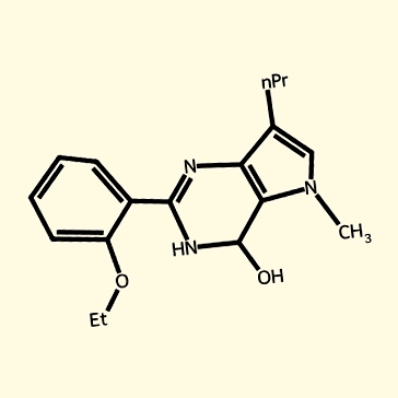 CCCc1cn(C)c2c1N=C(c1ccccc1OCC)NC2O